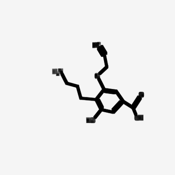 C#CCOc1cc(C(=O)O)cc(O)c1CCCN